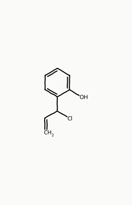 C=CC(Cl)c1ccccc1O